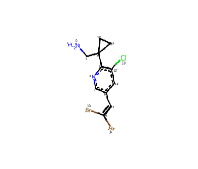 NCC1(c2ncc(C=C(Br)Br)cc2Cl)CC1